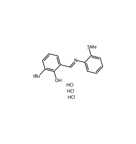 CSc1ccccc1N=Cc1cccc(C(C)(C)C)c1O.Cl.Cl.Cl